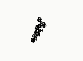 N#Cc1cnc2cc(OC3CCOC3)c([N+](=O)[O-])cc2c1Nc1cnc(NC(=O)c2cccs2)nc1